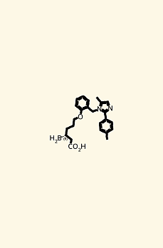 B[C@H](CCCOc1ccccc1Cn1c(C)cnc1-c1ccc(C)cc1)CC(=O)O